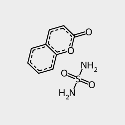 NS(N)(=O)=O.O=c1ccc2ccccc2o1